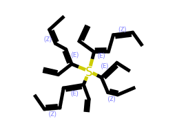 C=C/C(=C\C=C/C)S(/C(C=C)=C/C=C\C)(/C(C=C)=C/C=C\C)C(/C=C\C)=C/C